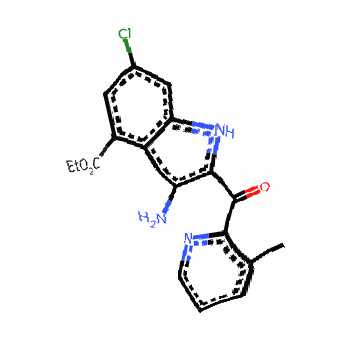 CCOC(=O)c1cc(Cl)cc2[nH]c(C(=O)c3ncccc3C)c(N)c12